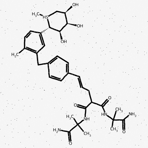 Cc1ccc([C@H]2[C@H](O)[C@H](O)[C@H](O)C[SH]2C)cc1Cc1ccc(/C=C/CC(C(=O)NC(C)(C)C(N)=O)C(=O)NC(C)(C)C(N)=O)cc1